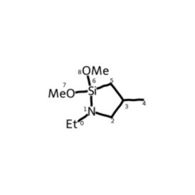 CCN1CC(C)C[Si]1(OC)OC